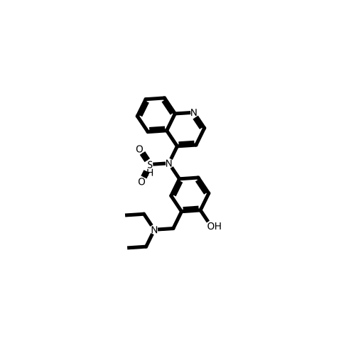 CCN(CC)Cc1cc(N(c2ccnc3ccccc23)[SH](=O)=O)ccc1O